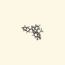 Cc1nc(N[C@H](C)C2CC2)c2c(n1)nc(-c1ccc3sccc3c1)n2Cc1ccc(C(F)(F)F)cc1